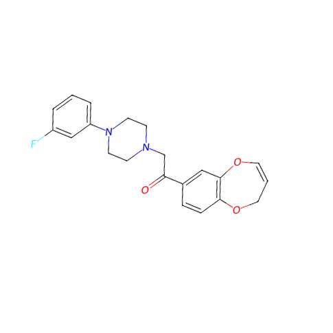 O=C(CN1CCN(c2cccc(F)c2)CC1)c1ccc2c(c1)OC=CCO2